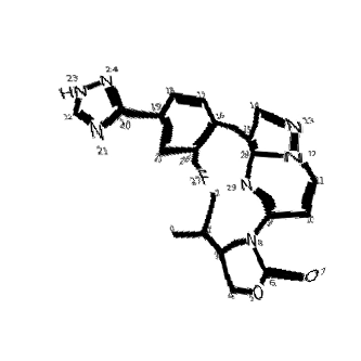 CC(C)C1COC(=O)N1c1ccn2ncc(-c3ccc(-c4nc[nH]n4)cc3F)c2n1